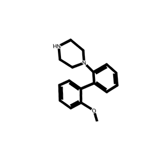 COc1ccccc1-c1ccccc1N1CCNCC1